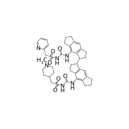 CN1CCC(CS(=O)(=O)NC(=O)Nc2c3c(cc4c2CCC4C2CCc4cc5c(c(NC(=O)NS(=O)(=O)Cc6ccccn6)c42)CCC5)CCC3)CC1